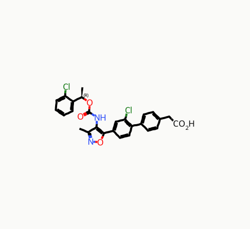 Cc1noc(-c2ccc(-c3ccc(CC(=O)O)cc3)c(Cl)c2)c1NC(=O)O[C@H](C)c1ccccc1Cl